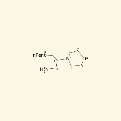 CCCCCCC(CN)N1CCOCC1